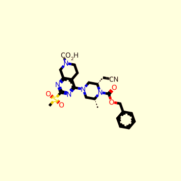 C[C@@H]1CN(c2nc(S(C)(=O)=O)nc3c2CCN(C(=O)O)C3)C[C@H](CC#N)N1C(=O)OCc1ccccc1